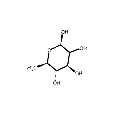 C[C@H]1O[C@@H](O)C(O)[C@@H](O)[C@@H]1O